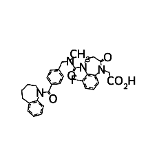 CN(Cc1ccc(C(=O)N2CCCCc3ccccc32)cc1)C(=O)N1CCC(=O)N(CC(=O)O)c2cccc(F)c21